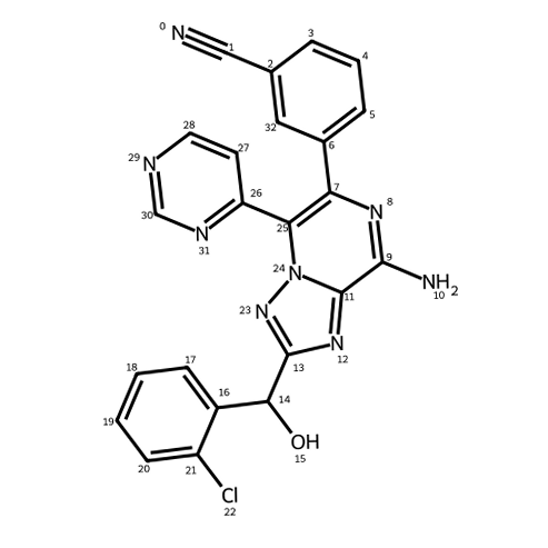 N#Cc1cccc(-c2nc(N)c3nc(C(O)c4ccccc4Cl)nn3c2-c2ccncn2)c1